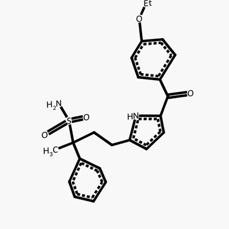 CCOc1ccc(C(=O)c2ccc(CCC(C)(c3ccccc3)S(N)(=O)=O)[nH]2)cc1